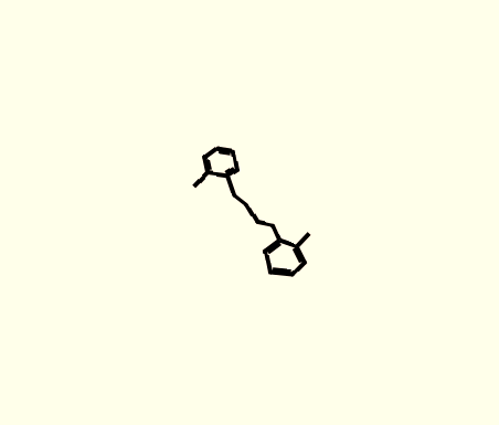 Cc1ccccc1CCCCc1ccccc1C